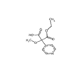 CCOC(=O)C(OC)(C(=O)O)c1ccncc1